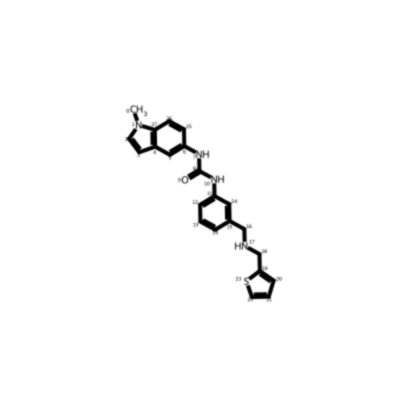 Cn1ccc2cc(NC(=O)Nc3cccc(CNCc4cccs4)c3)ccc21